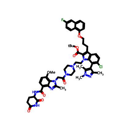 COc1ccc(C(=O)NC2CCC(=O)NC2=O)c2nc(C)n(CC(=O)N3CCN(CCn4c(C(=O)OC(C)(C)C)c(CCCOc5cccc6cc(F)ccc56)c5ccc(Cl)c(-c6c(C)nn(C)c6C)c54)CC3)c12